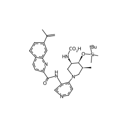 C=C(C)c1ccc2ccc(C(=O)Nc3cnccc3N3C[C@H](C)[C@H](O[Si](C)(C)C(C)(C)C)[C@H](NC(=O)O)C3)nc2c1